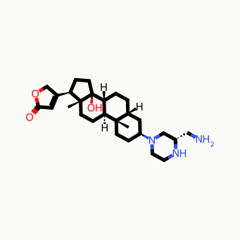 C[C@]12CC[C@H](N3CCN[C@@H](CN)C3)C[C@H]1CC[C@@H]1[C@@H]2CC[C@]2(C)[C@@H](C3=CC(=O)OC3)CC[C@]12O